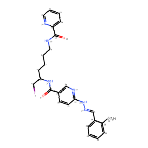 O=C(NC(CI)CCCCNC(=O)c1ccccn1)c1ccc(NN=Cc2ccccc2S(=O)(=O)O)nc1